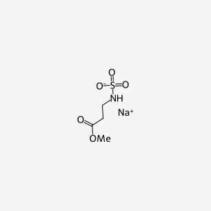 COC(=O)CCNS(=O)(=O)[O-].[Na+]